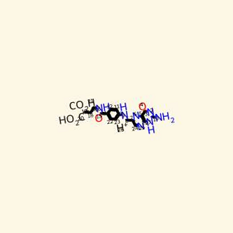 Nc1nc(=O)c2nc(CNc3ccc(C(=O)N[C@@H](CCC(=O)O)C(=O)O)cc3)cnc2[nH]1.[H+]